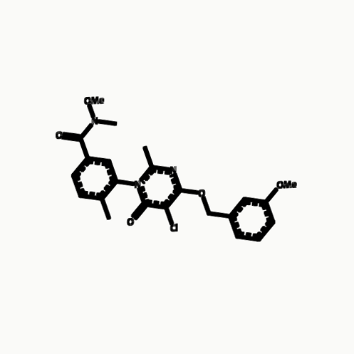 COc1cccc(COc2nc(C)n(-c3cc(C(=O)N(C)OC)ccc3C)c(=O)c2Cl)c1